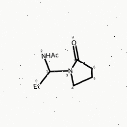 CCC(NC(C)=O)N1CCCC1=O